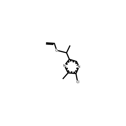 C=COC(C)c1cnc(Cl)c(C)n1